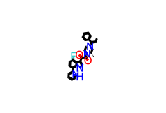 CC=C(c1ccccc1)N1CCN(C(=O)C(=O)c2c[nH]c3c(-c4ccccn4)ccc(F)c23)[C@@H](C)C1